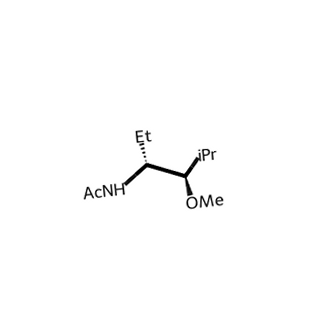 CC[C@@H](NC(C)=O)[C@H](OC)C(C)C